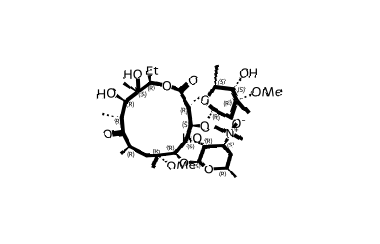 CC[C@H]1OC(=O)[C@H](C)[C@@H](O[C@H]2C[C@@](C)(OC)[C@@H](O)[C@H](C)O2)[C@H](C)[C@@H](O[C@@H]2O[C@H](C)C[C@H]([N+](C)(C)[O-])[C@H]2O)[C@](C)(OC)C[C@@H](C)C(=O)[C@H](C)[C@@H](O)[C@]1(C)O